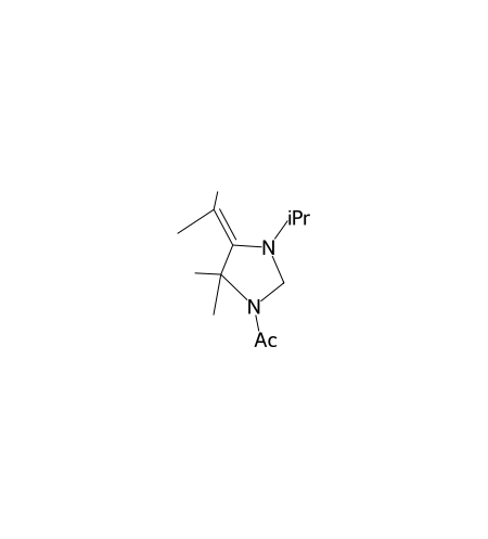 CC(=O)N1CN(C(C)C)C(=C(C)C)C1(C)C